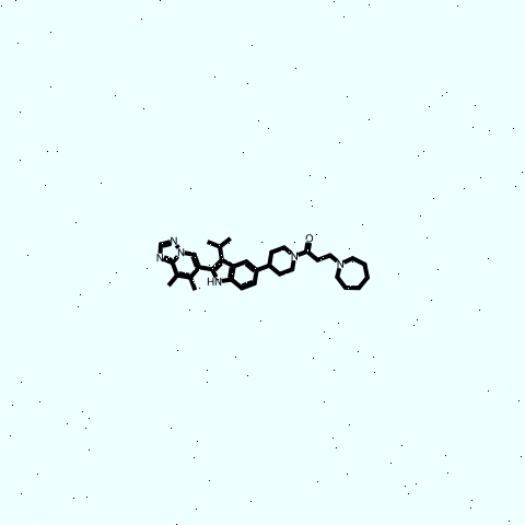 Cc1c(-c2[nH]c3ccc(C4CCN(C(=O)CCN5CCCCCC5)CC4)cc3c2C(C)C)cn2ncnc2c1C